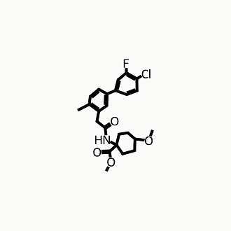 COC(=O)C1(NC(=O)Cc2cc(-c3ccc(Cl)c(F)c3)ccc2C)CCC(OC)CC1